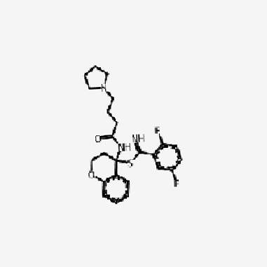 N=C(SC1(NC(=O)CCCN2CCCC2)CCOc2ccccc21)c1cc(F)ccc1F